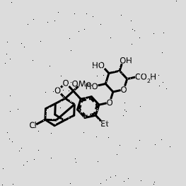 CCc1ccc(C2(OC)OOC23C2CC4CC3CC(Cl)(C4)C2)cc1OC1OC(C(=O)O)C(O)C(O)C1O